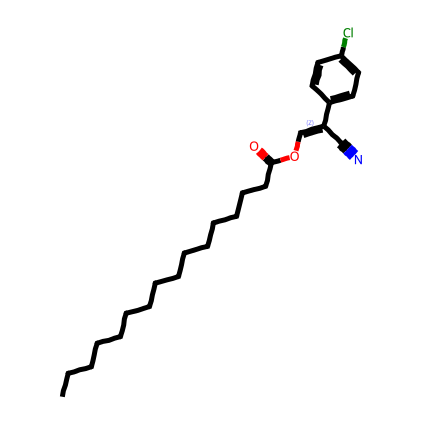 CCCCCCCCCCCCCCCC(=O)O/C=C(\C#N)c1ccc(Cl)cc1